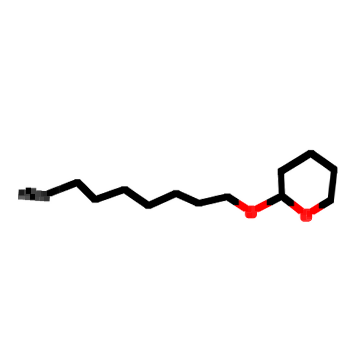 CCCCCCCCCCCCCCCCOC1CCCCO1